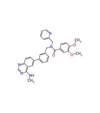 CNc1ncnc2ccc(-c3cccc(CN(Cc4ccccn4)C(=O)c4ccc(OC)c(OC)c4)c3)cc12